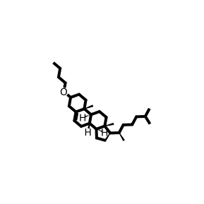 CCCCOC1CC[C@@]2(C)C(=CC[C@H]3[C@@H]4CC[C@H]([C@H](C)CCCC(C)C)[C@@]4(C)CC[C@@H]32)C1